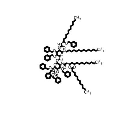 CCCCCCCCCCCCCCO[C@@H]1O[C@H](CO[C@@H]2O[C@H](COCc3ccccc3)[C@@H](OP(=O)(OCc3ccccc3)OCc3ccccc3)[C@H](OCc3ccccc3)[C@H]2NC(=O)C[C@@H](CCCCCCCCCCC)OC(=O)CCCCCCCCCCC)[C@@H](OCc2ccccc2)[C@H](OCc2ccccc2)[C@H]1NC(=O)C[C@@H](CCCCCCCCCCC)OCc1ccccc1